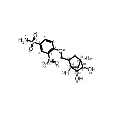 NS(=O)(=O)c1ccc(OCC2C[C@@H]3C[C@@H]2[C@H](O)[C@@H]3O)c([N+](=O)[O-])c1